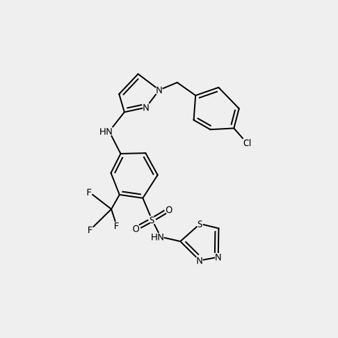 O=S(=O)(Nc1nncs1)c1ccc(Nc2ccn(Cc3ccc(Cl)cc3)n2)cc1C(F)(F)F